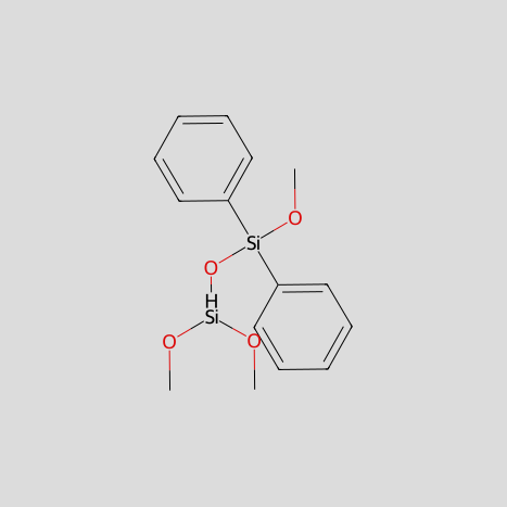 CO[SiH](OC)O[Si](OC)(c1ccccc1)c1ccccc1